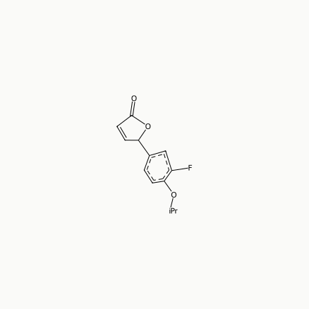 CC(C)Oc1ccc(C2C=CC(=O)O2)cc1F